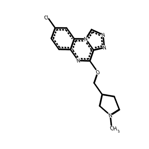 CN1CCC(COc2nc3ccc(Cl)cc3n3cnnc23)C1